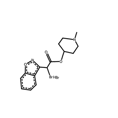 Br.CN1CCC(OC(=O)C(Br)c2noc3ccccc23)CC1